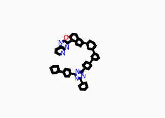 c1ccc(-c2ccc(-c3nc(-c4ccccc4)nc(-c4ccc(-c5cccc(-c6cccc(-c7ccc8c(ccc9oc%10nc%11cccnc%11nc%10c98)c7)c6)c5)cc4)n3)cc2)cc1